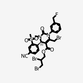 CN1C(=O)N(c2cccc(CF)c2)C(CBr)=C(C(=O)OCC(Br)CBr)[C@H]1c1ccc(C#N)cc1S(C)(=O)=O